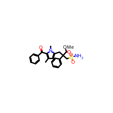 COC(=O)C(Cc1cc(C)c(C(=O)c2ccccc2)n1C)(CS(N)(=O)=O)c1ccccc1